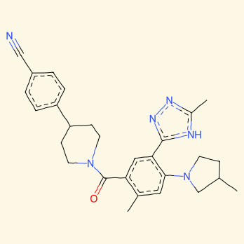 Cc1nnc(-c2cc(C(=O)N3CCC(c4ccc(C#N)cc4)CC3)c(C)cc2N2CCC(C)C2)[nH]1